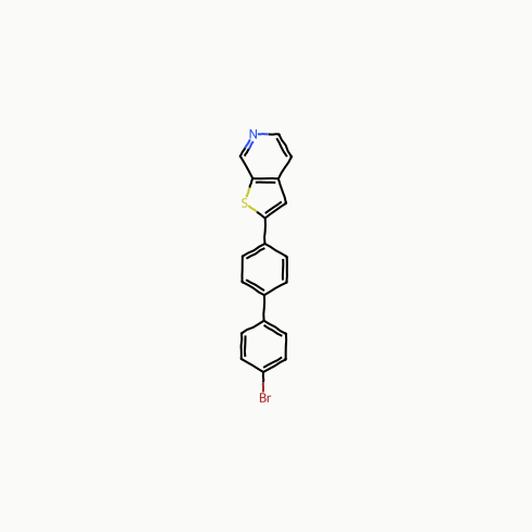 Brc1ccc(-c2ccc(-c3cc4ccncc4s3)cc2)cc1